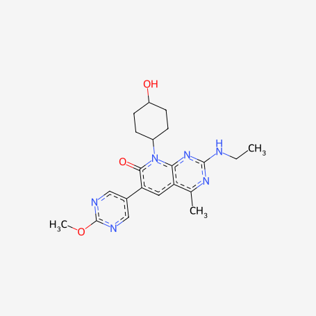 CCNc1nc(C)c2cc(-c3cnc(OC)nc3)c(=O)n(C3CCC(O)CC3)c2n1